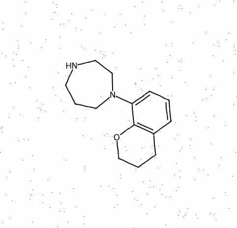 c1cc2c(c(N3CCCNCC3)c1)OCCC2